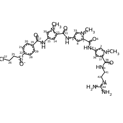 Cn1cc(NC(=O)c2cc(NC(=O)c3cc(NC(=O)c4ccc([S+]([O-])CCCl)cc4)cn3C)cn2C)cc1C(=O)NCCN=C(N)N